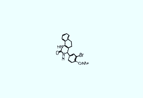 COc1ccc(C2NC(=O)NC3=C2CCc2ccccc23)cc1Br